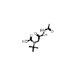 CC(=O)NNC(=O)CN(C(=O)O)C(C)(C)C